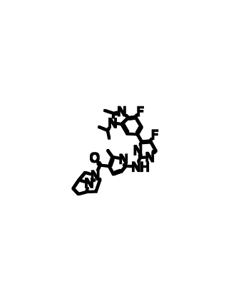 Cc1nc(Nc2ncc(F)c(-c3cc(F)c4nc(C)n(C(C)C)c4c3)n2)ccc1C(=O)N1CCC2CCC(C1)N2C